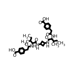 CCC(C)[C@H](NC(=O)Cc1ccc(C(=O)O)cc1)C(=O)NC1CC(NC(=O)[C@@H](NC(=O)Cc2ccc(C(=O)O)cc2)C(C)CC)C1